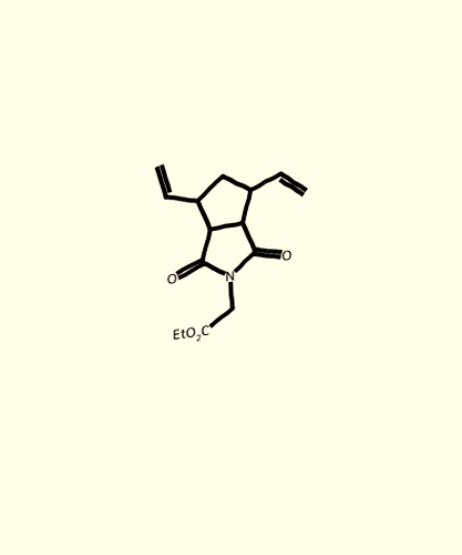 C=CC1CC(C=C)C2C(=O)N(CC(=O)OCC)C(=O)C12